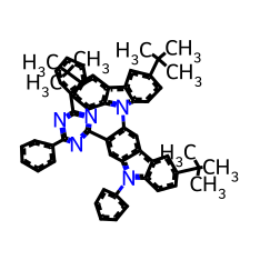 CC(C)(C)c1ccc2c(c1)c1cc(-n3c4ccc(C(C)(C)C)cc4c4cc(C(C)(C)C)ccc43)c(-c3nc(-c4ccccc4)nc(-c4ccccc4)n3)cc1n2-c1ccccc1